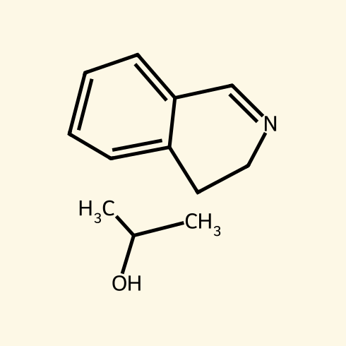 C1=NCCc2ccccc21.CC(C)O